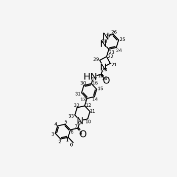 Cc1ccccc1C(=O)N1CCC(c2ccc(NC(=O)N3CC(c4cccnn4)C3)cc2)CC1